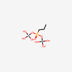 CCCP(=O)(O[Si](O)(O)O)O[Si](O)(O)O